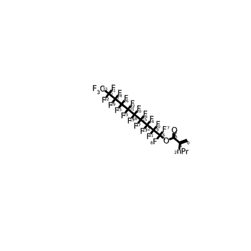 C=C(CCC)C(=O)OC(F)(F)C(F)(F)C(F)(F)C(F)(F)C(F)(F)C(F)(F)C(F)(F)C(F)(F)C(F)(F)C(F)(F)F